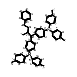 Cc1ccc(N(c2ccc(C)cc2)c2ccc(C(c3ccc(N(c4ccc(C)cc4)c4ccc(C)cc4)cc3)C(C)CCc3ccccc3)cc2)cc1